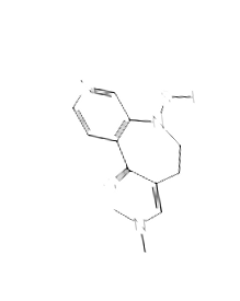 CN(C)/C=C1/CCN(SI)c2cnccc2C1=O